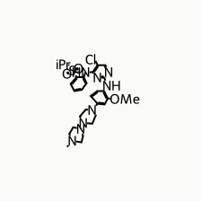 COc1cc(N2CCN(N3CCN(C)CC3)CC2)ccc1Nc1ncc(Cl)c(Nc2ccccc2S(=O)(=O)C(C)C)n1